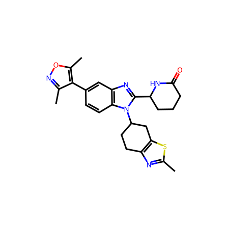 Cc1nc2c(s1)CC(n1c(C3CCCC(=O)N3)nc3cc(-c4c(C)noc4C)ccc31)CC2